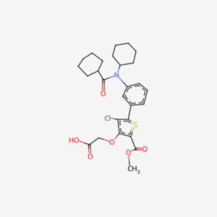 COC(=O)c1sc(-c2cccc(N(C(=O)C3CCCCC3)C3CCCCC3)c2)c(Cl)c1OCC(=O)O